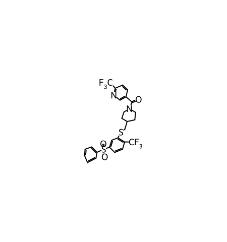 O=C(c1ccc(C(F)(F)F)nc1)N1CCC(CSc2cc(S(=O)(=O)c3ccccc3)ccc2C(F)(F)F)CC1